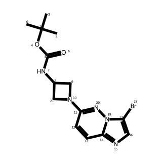 CC(C)(C)OC(=O)NC1CN(c2ccc3ncc(Br)n3n2)C1